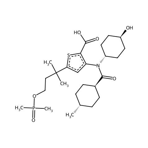 CC(C)(CCOP(C)(C)=O)c1cc(N(C(=O)[C@H]2CC[C@H](C)CC2)[C@H]2CC[C@H](O)CC2)c(C(=O)O)s1